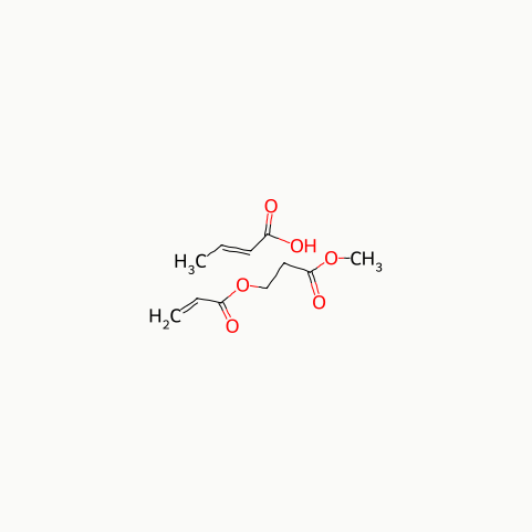 C=CC(=O)OCCC(=O)OC.CC=CC(=O)O